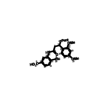 CCCCCC(CC(=O)Nc1cc(C(=O)O)ccc1C(C)(C)C)c1ccc(OC)cc1OC